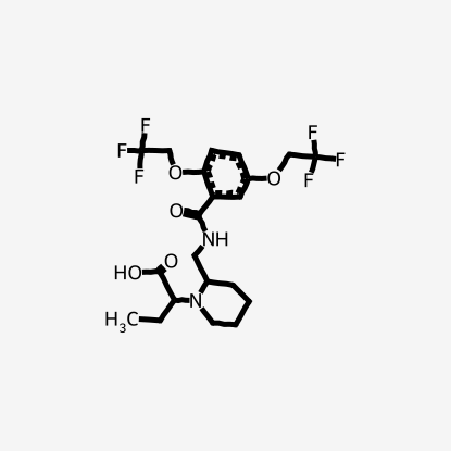 CCC(C(=O)O)N1CCCCC1CNC(=O)c1cc(OCC(F)(F)F)ccc1OCC(F)(F)F